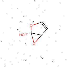 O[C@]12OC=CC1O2